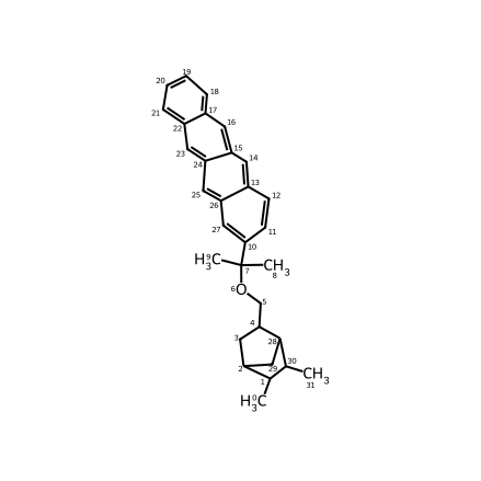 CC1C2CC(COC(C)(C)c3ccc4cc5cc6ccccc6cc5cc4c3)C(C2)C1C